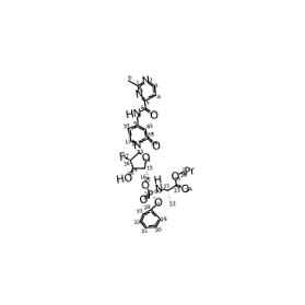 Cc1nccc(C(=O)Nc2ccn([C@@H]3O[C@H](CO[P@@](=O)(N[C@@H](C)C(=O)OC(C)C)Oc4ccccc4)[C@@H](O)[C@H]3F)c(=O)c2)n1